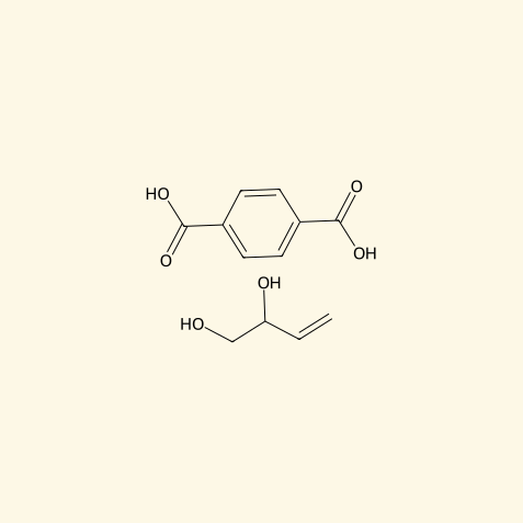 C=CC(O)CO.O=C(O)c1ccc(C(=O)O)cc1